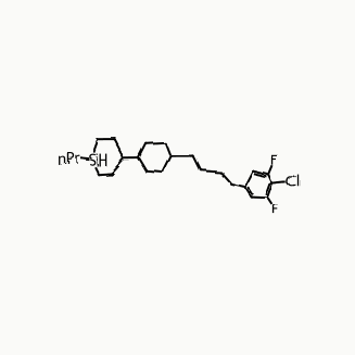 CCC[SiH]1CCC(C2CCC(CCCCc3cc(F)c(Cl)c(F)c3)CC2)CC1